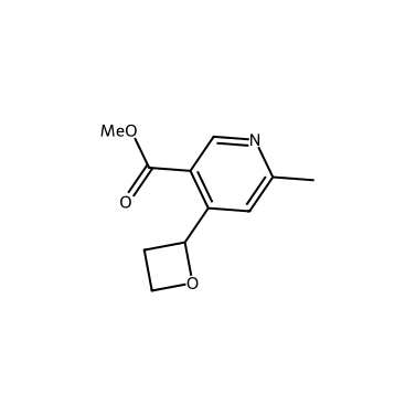 COC(=O)c1cnc(C)cc1C1CCO1